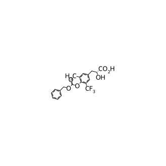 Cc1cc(C[C@@H](O)C(=O)O)cc(C(F)(F)F)c1OC(=O)OCc1ccccc1